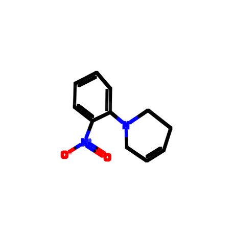 O=[N+]([O-])c1ccccc1N1CC=CCC1